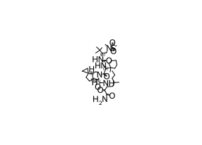 CCCC(C)CC(NC(=O)[C@@H]1[C@H]2CCC3(CC3)[C@H]2CN1C(=O)[C@@H](NC(=O)N[C@H](CN(C)S(C)(=O)=O)C(C)(C)C)C1(C)CCCCC1)C(=O)C(N)=O